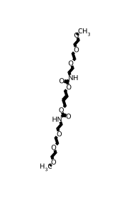 COCCOCCOCCNC(=O)OC/C=C/COC(=O)NCCOCCOCCOC